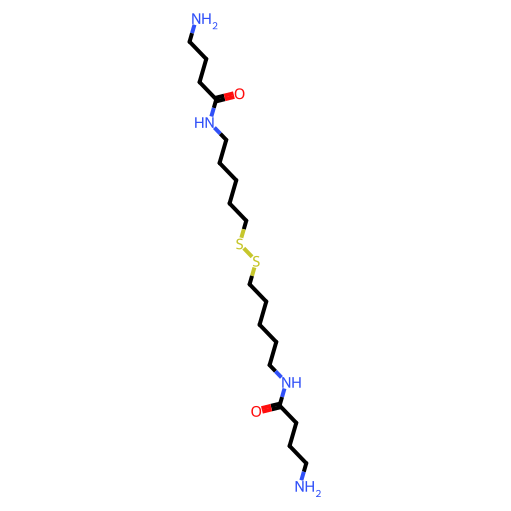 NCCCC(=O)NCCCCCSSCCCCCNC(=O)CCCN